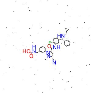 N#Cc1cc(C(=O)Nc2cc(C(NCC3CC3)c3ccccc3)ccc2F)n(-c2cccc(CNC(=O)O)c2)n1